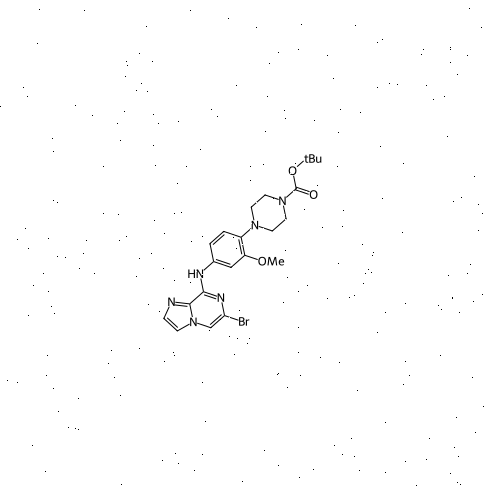 COc1cc(Nc2nc(Br)cn3ccnc23)ccc1N1CCN(C(=O)OC(C)(C)C)CC1